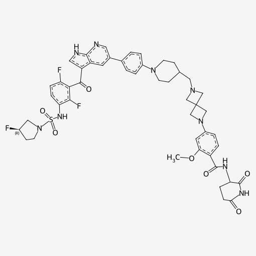 COc1cc(N2CC3(CN(CC4CCN(c5ccc(-c6cnc7[nH]cc(C(=O)c8c(F)ccc(NS(=O)(=O)N9CC[C@@H](F)C9)c8F)c7c6)cc5)CC4)C3)C2)ccc1C(=O)NC1CCC(=O)NC1=O